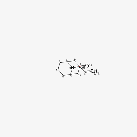 C=CCN1C2CCCC1CC(=O)C2